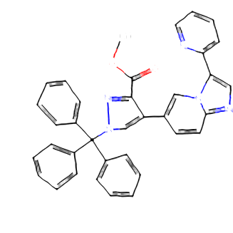 COC(=O)c1nn(C(c2ccccc2)(c2ccccc2)c2ccccc2)cc1-c1ccc2ncc(-c3ccccn3)n2c1